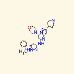 Cc1ccccc1-c1cc(Nc2cc(N3CCOCC3)n3nc(-c4ccncc4)cc3n2)n[nH]1